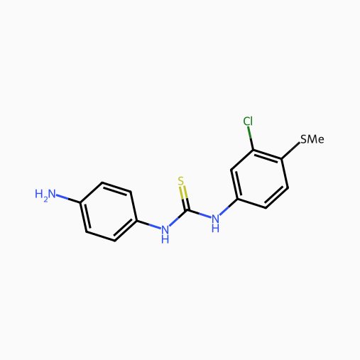 CSc1ccc(NC(=S)Nc2ccc(N)cc2)cc1Cl